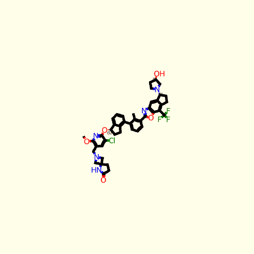 COc1nc(O[C@H]2CCc3c(-c4cccc(-c5nc6cc7c(c(C(F)(F)F)c6o5)CC[C@H]7N5CC[C@@H](O)C5)c4C)cccc32)c(Cl)cc1CN1CC2(CCC(=O)N2)C1